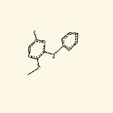 COc1ccc(Cl)cc1Nc1ccccc1